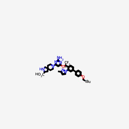 Cc1ccn(-c2cc(-c3ccc(OCC(C)(C)C)cc3)ccc2[C@@H](Oc2cc(N3CCC4(CC3)CNC(C(=O)O)C4)nc(N)n2)C(F)(F)F)n1